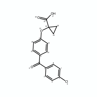 O=C(c1ccc(Cl)cc1)c1ccc(OC2(C(=O)O)CC2)cc1